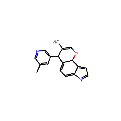 Cc1cncc(C2C(C#N)=COC3C4=CC=NC4=CC=C32)c1